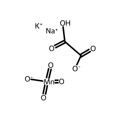 O=C([O-])C(=O)O.[K+].[Na+].[O]=[Mn](=[O])(=[O])[O-]